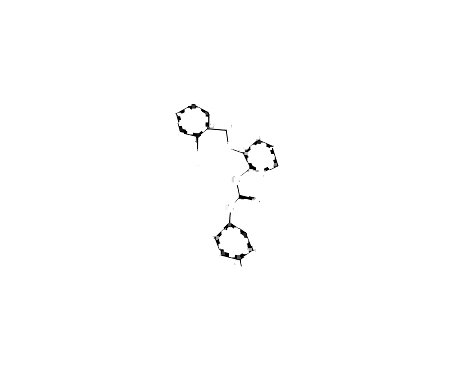 N=C(Nc1ccc(Cl)cc1)Nc1ncccc1OCc1ccccc1Cl